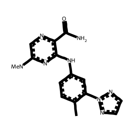 CNc1cnc(C(N)=O)c(Nc2ccc(C)c(-n3nccn3)c2)n1